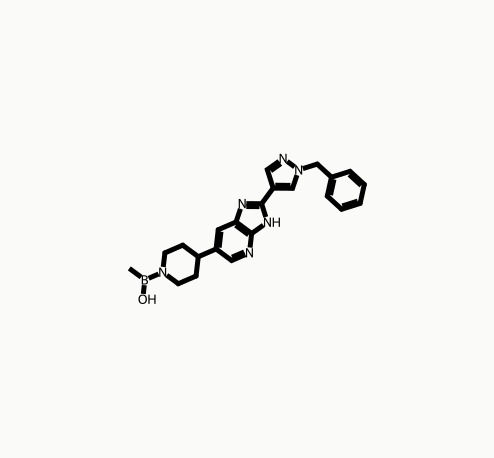 CB(O)N1CCC(c2cnc3[nH]c(-c4cnn(Cc5ccccc5)c4)nc3c2)CC1